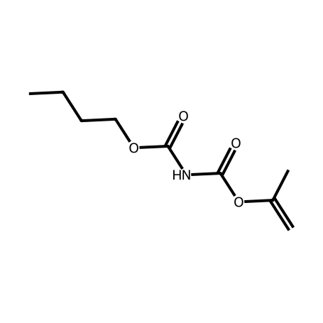 C=C(C)OC(=O)NC(=O)OCCCC